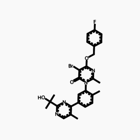 Cc1ccc(-c2nc(C(C)(C)O)ncc2C)cc1-n1c(C)nc(OCc2ccc(F)cc2)c(Br)c1=O